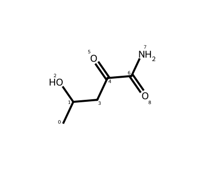 CC(O)CC(=O)C(N)=O